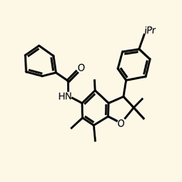 Cc1c(C)c2c(c(C)c1NC(=O)c1ccccc1)C(c1ccc(C(C)C)cc1)C(C)(C)O2